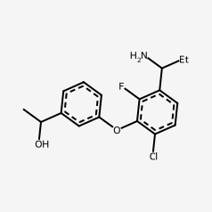 CCC(N)c1ccc(Cl)c(Oc2cccc(C(C)O)c2)c1F